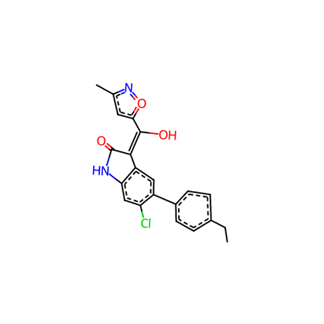 CCc1ccc(-c2cc3c(cc2Cl)NC(=O)C3=C(O)c2cc(C)no2)cc1